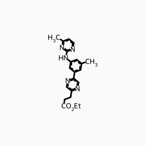 CCOC(=O)CCc1cnc(-c2cc(C)cc(Nc3nccc(C)n3)c2)cn1